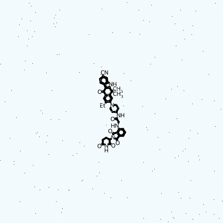 CCc1cc2c(cc1N1CCC(NC(=O)CNc3cccc4c3C(=O)N(C3CCC(=O)NC3=O)C4=O)CC1)C(C)(C)c1[nH]c3cc(C#N)ccc3c1C2=O